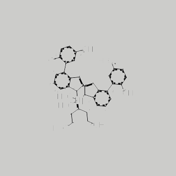 CCC[C](CCC)=[Hf]([CH3])([CH3])([CH]1C=Cc2c(-c3cc(C)ccc3C)cccc21)[CH]1C=Cc2c(-c3cc(C)ccc3C)cccc21